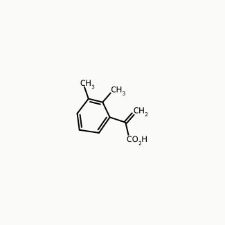 C=C(C(=O)O)c1cccc(C)c1C